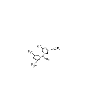 NN(c1cc(C(F)(F)F)cc(C(F)(F)F)c1)c1cc(C(F)(F)F)cc(C(F)(F)F)c1